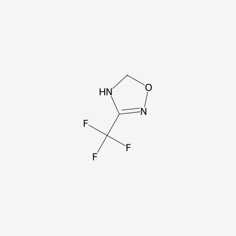 FC(F)(F)C1=NOCN1